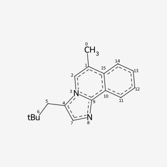 Cc1cn2c(CC(C)(C)C)cnc2c2ccccc12